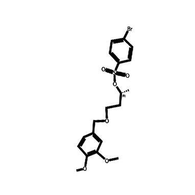 COc1ccc(COCC[C@@H](C)OS(=O)(=O)c2ccc(Br)cc2)cc1OC